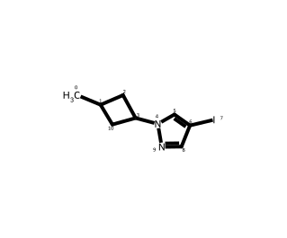 CC1CC(n2cc(I)cn2)C1